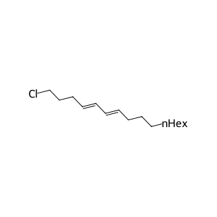 CCCCCCCCCC=CC=CCCCCl